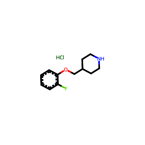 Cl.Fc1ccccc1OCC1CCNCC1